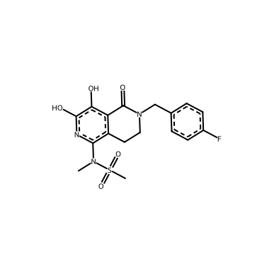 CN(c1nc(O)c(O)c2c1CCN(Cc1ccc(F)cc1)C2=O)S(C)(=O)=O